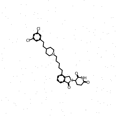 O=C1CCC(N2Cc3c(CCCCCN4CCC(CCc5cc(Cl)cc(Cl)c5)CC4)cccc3C2=O)C(=O)N1